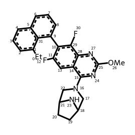 CCc1cccc2cccc(-c3c(F)cc4c(N5CC6CCC(C5)N6)nc(OC)nc4c3F)c12